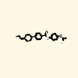 CCCC1CCC(c2ccc(C(=O)Oc3ccc(OC(C)=O)cc3)cc2)CC1